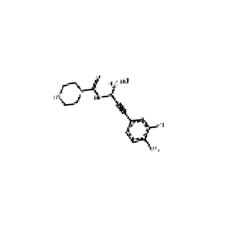 Cc1ccc(C#CC(C)NC(=O)N2CCNCC2)cc1Cl.Cl